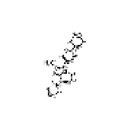 Cc1nc2c(N3CCOCC3)nccn2c1-c1ccc(C2=CCOCC2)nc1